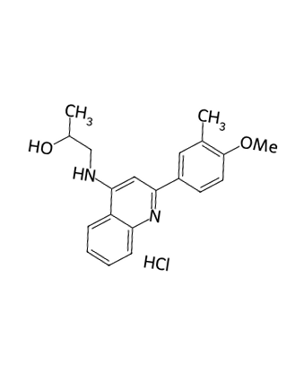 COc1ccc(-c2cc(NCC(C)O)c3ccccc3n2)cc1C.Cl